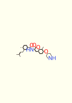 CC(C)=CCc1[c]ccc(C(=O)Nc2cc3ccc(OC4CCNCC4)c(C)c3oc2=O)c1